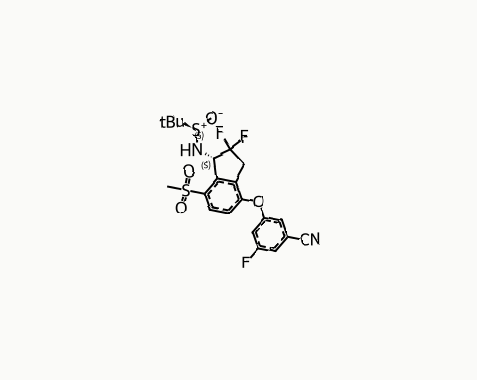 CC(C)(C)[S@@+]([O-])N[C@H]1c2c(S(C)(=O)=O)ccc(Oc3cc(F)cc(C#N)c3)c2CC1(F)F